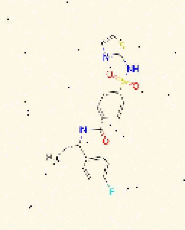 CCC(NC(=O)c1ccc(S(=O)(=O)Nc2nccs2)cc1)c1ccc(F)cc1